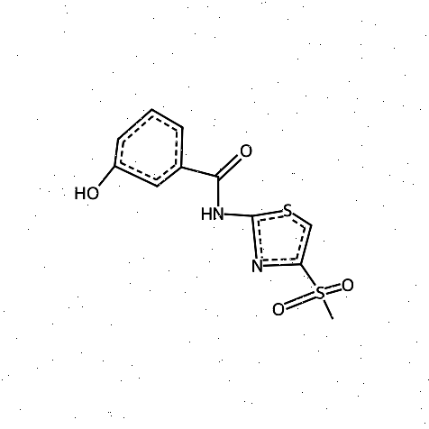 CS(=O)(=O)c1csc(NC(=O)c2cccc(O)c2)n1